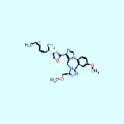 C=C(/C=C\C=C/C)[C@H]1COC(c2ncn3c2Cn2c(COC)nnc2-c2cc(OC)ccc2-3)=N1